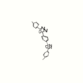 Cc1ccc(-c2nnc(-c3ccc(-c4nnc(-c5ccc(C)cc5)o4)cc3)o2)cc1